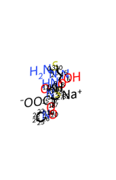 Nc1nc(/C(=N/O)C(=O)NC2C(=O)N3C(C(=O)[O-])=C(COC(=O)N4CCCCC4)CS[C@@H]23)cs1.[Na+]